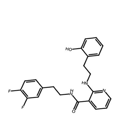 O=C(NCCc1ccc(F)c(F)c1)c1cccnc1NCCc1ccccc1O